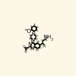 COc1ccccc1N1CCN(c2nc(C3CC3)nc3ccc(C(C)CCN)cc23)CC1